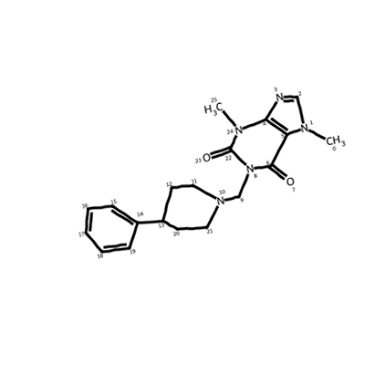 Cn1cnc2c1c(=O)n(CN1CCC(c3ccccc3)CC1)c(=O)n2C